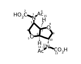 CC(=O)N(C(=O)O)[C@@H]1CO[C@H]2[C@@H]1OC[C@@H]2N(C(C)=O)C(=O)O